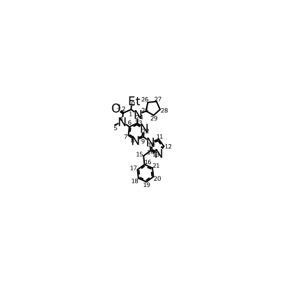 CCC1C(=O)N(C)c2cnc(-n3ccnc3Cc3ccccc3)nc2N1C1CCCC1